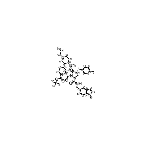 Cc1ccc(C[C@@H]2C[C@@H](C(=O)NCc3ccc4c(ccn4C)c3)N(C(=O)[C@H]3[C@@H](C(=O)N(C)C4CCN(CCF)CC4)CCCN3C(=O)OC(C)(C)C)C2)cc1